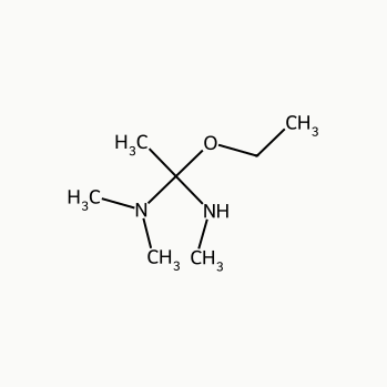 CCOC(C)(NC)N(C)C